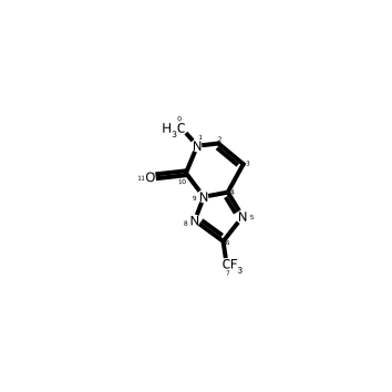 Cn1ccc2nc(C(F)(F)F)nn2c1=O